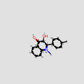 Cc1ccc(-c2c(O)c(=O)c3ccccc3n2C)cc1